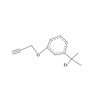 C#CCOc1cccc(C(C)(C)CC)c1